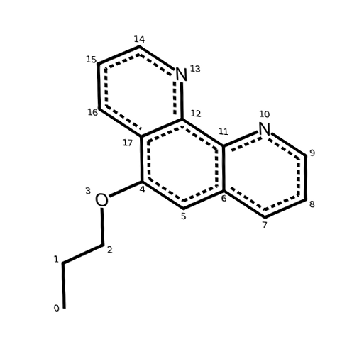 CCCOc1cc2cccnc2c2ncccc12